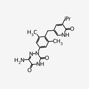 Cc1cc(-n2nc(N)c(=O)[nH]c2=O)cc(C)c1Cc1c[nH]c(=O)c(C(C)C)c1